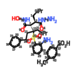 CC(C)C[C@@H](C(=O)NN)[C@@H](C(=O)NO)C(CCc1ccccc1)(CC(C)C)S(=O)(=O)c1ccccc1N.Cc1ccc(S(=O)(=O)O)cc1